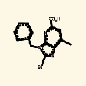 CCc1nc2c(C)cc(C(=O)O)nc2n1Cc1ccccc1